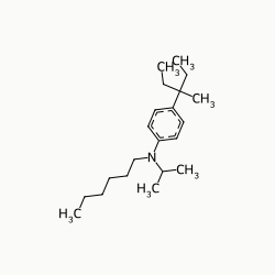 CCCCCCN(c1ccc(C(C)(CC)CC)cc1)C(C)C